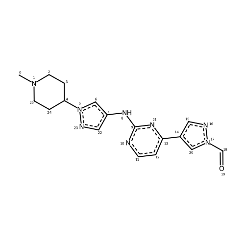 CN1CCC(n2cc(Nc3nccc(-c4cnn(C=O)c4)n3)cn2)CC1